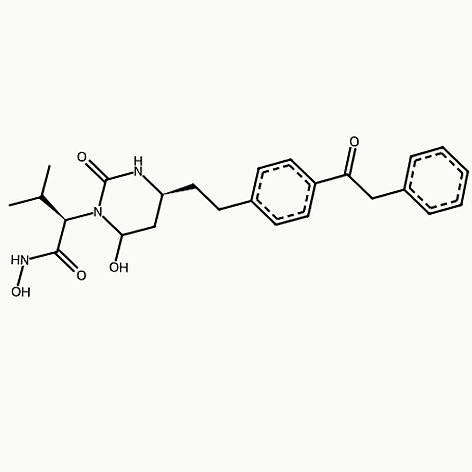 CC(C)[C@H](C(=O)NO)N1C(=O)N[C@@H](CCc2ccc(C(=O)Cc3ccccc3)cc2)CC1O